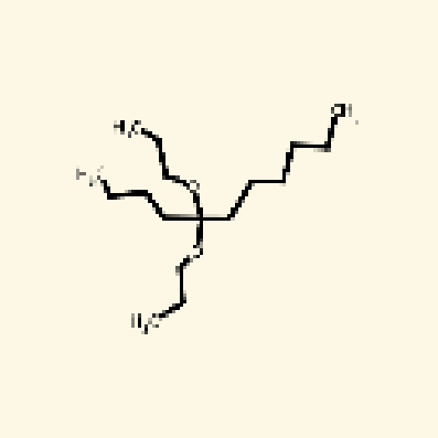 CCCCCCC(CCCC)(OCCC)OCCC